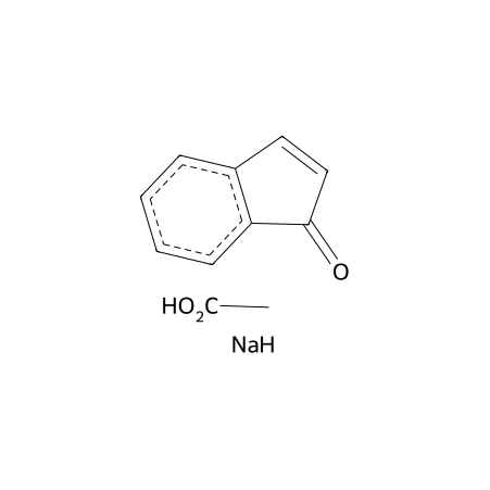 CC(=O)O.O=C1C=Cc2ccccc21.[NaH]